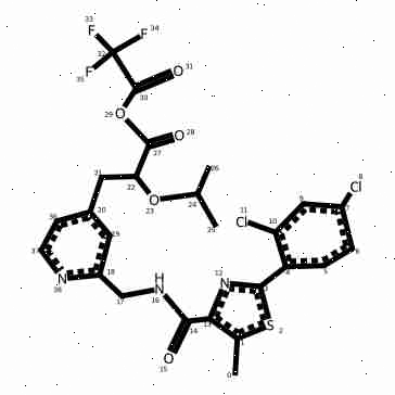 Cc1sc(-c2ccc(Cl)cc2Cl)nc1C(=O)NCc1cc(CC(OC(C)C)C(=O)OC(=O)C(F)(F)F)ccn1